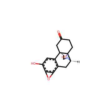 O=C1CC[C@@]2(O)[C@H]3Cc4c(cc(O)c5c4O5)[C@@]2(CCN3)C1